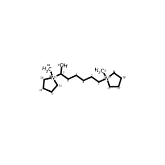 C[N+]1(CCCCCC(O)[N+]2(C)CCCC2)CCCC1